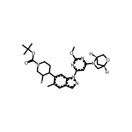 COc1nc(N2C[C@@H]3C[C@H]2CO3)cc(-n2ncc3cc(C)c(C4CCN(C(=O)OC(C)(C)C)CC4F)cc32)n1